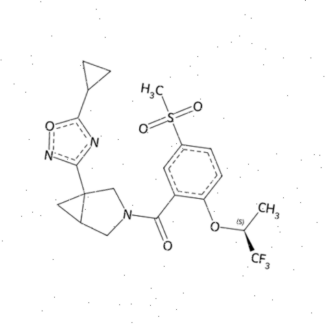 C[C@H](Oc1ccc(S(C)(=O)=O)cc1C(=O)N1CC2CC2(c2noc(C3CC3)n2)C1)C(F)(F)F